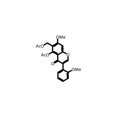 COc1ccccc1-c1coc2cc(OC)c(COC(C)=O)c(OC(C)=O)c2c1=O